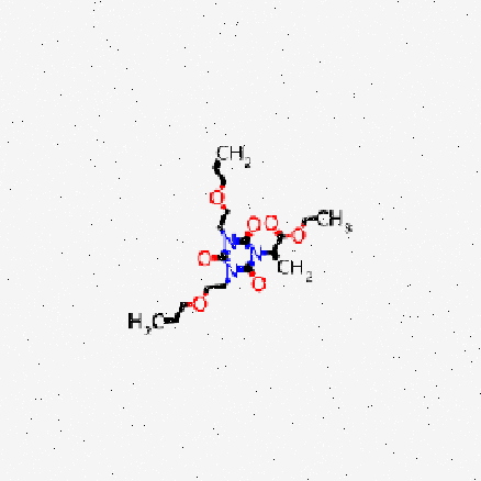 C=CCOCCn1c(=O)n(CCOCC=C)c(=O)n(C(=C)C(=O)OCC)c1=O